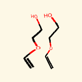 C=COCCO.C=COCCO